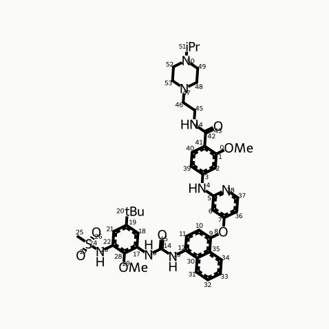 COc1cc(Nc2cc(Oc3ccc(NC(=O)Nc4cc(C(C)(C)C)cc(NS(C)(=O)=O)c4OC)c4ccccc34)ccn2)ccc1C(=O)NCCN1CCN(C(C)C)CC1